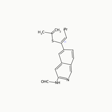 C=C(C)S/C(=C\C(C)C)c1ccc2cnc(NC=O)cc2c1